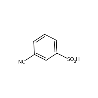 N#Cc1cccc(S(=O)(=O)O)c1